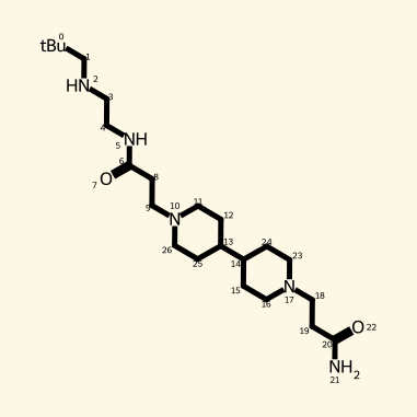 CC(C)(C)CNCCNC(=O)CCN1CCC(C2CCN(CCC(N)=O)CC2)CC1